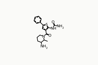 CC1C(N)CCCN1C(=O)c1cc(-c2ccccc2)sc1NC(N)=O